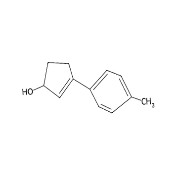 Cc1ccc(C2=CC(O)CC2)cc1